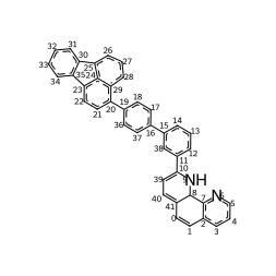 C1=Cc2cccnc2C2NC(c3cccc(-c4ccc(-c5ccc6c7c(cccc57)-c5ccccc5-6)cc4)c3)=CC=C12